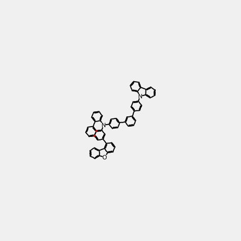 c1ccc(-c2ccccc2N(c2ccc(-c3cccc(-c4ccc(-n5c6ccccc6c6ccccc65)cc4)c3)cc2)c2cccc(-c3cccc4oc5ccccc5c34)c2)cc1